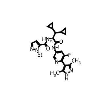 CCn1nccc1C(=O)N[C@H](C(=O)Nc1cnc(-c2c(C)n[nH]c2C)c(F)c1)C(C1CC1)C1CC1